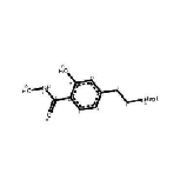 CCCCCCCCCc1ccc(C(=O)NO)c(O)c1